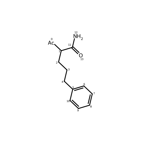 CC(=O)C(CCCc1ccccc1)C(N)=O